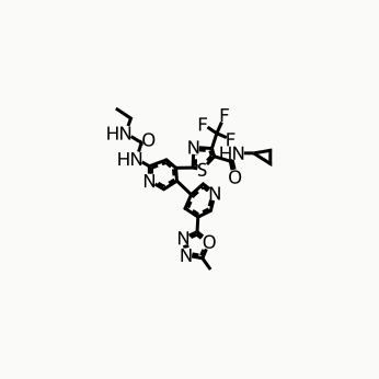 CCNC(=O)Nc1cc(-c2nc(C(F)(F)F)c(C(=O)NC3CC3)s2)c(-c2cncc(-c3nnc(C)o3)c2)cn1